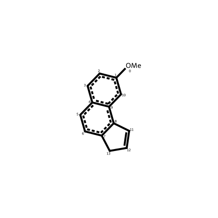 COc1ccc2ccc3c(c2c1)C=CC3